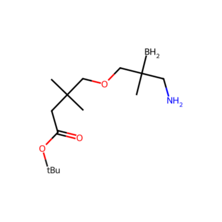 BC(C)(CN)COCC(C)(C)CC(=O)OC(C)(C)C